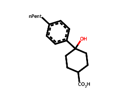 CCCCCc1ccc(C2(O)CCC(C(=O)O)CC2)cc1